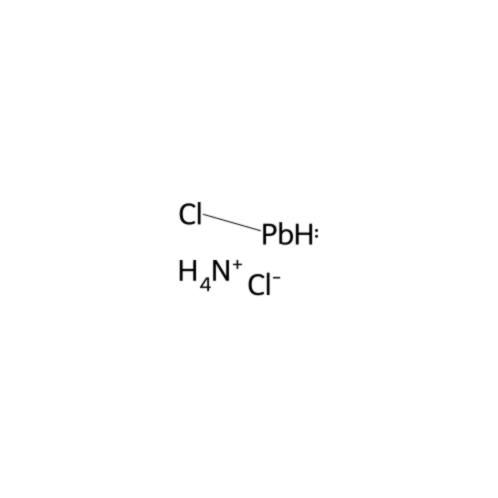 [Cl-].[Cl][PbH].[NH4+]